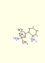 CC(CC(C)(C)N)C1CCCCC1N